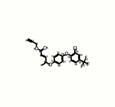 C#CCOC(=O)/C=C/C(C)Oc1ccc(Oc2ccc(C(F)(F)F)cc2Cl)cc1